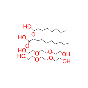 CCCCCCCC(=O)O.CCCCCCCCCC(=O)O.OCCOCCOCCO.OCCOCCOCCO